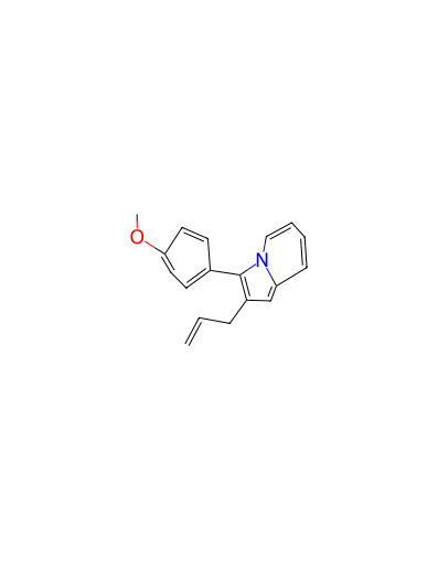 C=CCc1cc2ccccn2c1-c1ccc(OC)cc1